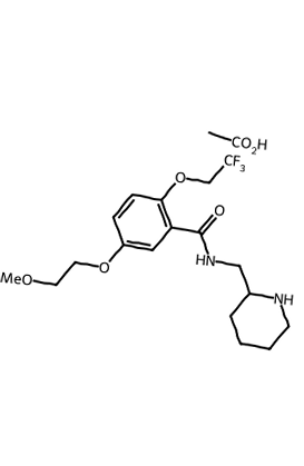 CC(=O)O.COCCOc1ccc(OCC(F)(F)F)c(C(=O)NCC2CCCCN2)c1